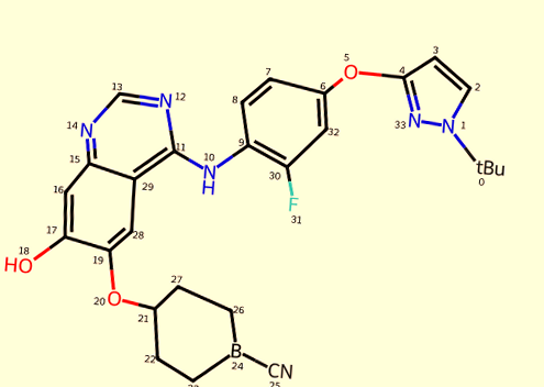 CC(C)(C)n1ccc(Oc2ccc(Nc3ncnc4cc(O)c(OC5CCB(C#N)CC5)cc34)c(F)c2)n1